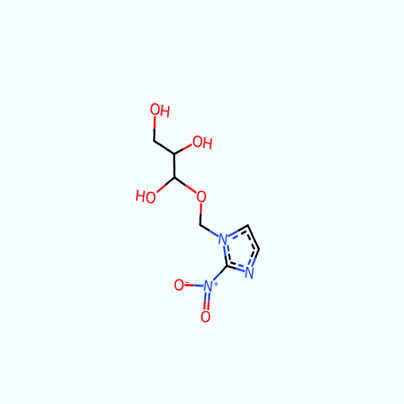 O=[N+]([O-])c1nccn1COC(O)C(O)CO